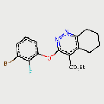 CCOC(=O)c1c(Oc2cccc(Br)c2F)nnc2c1CCCC2